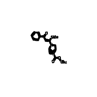 CSC(=CC(=O)c1ccccc1)N1CC2CC1CN2C(=O)OC(C)(C)C